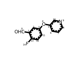 O=Cc1cc(Oc2cccnc2)ccc1F